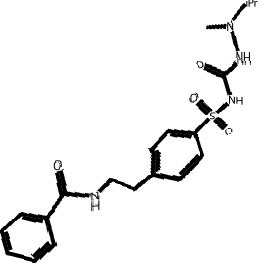 CC(C)N(C)NC(=O)NS(=O)(=O)c1ccc(CCNC(=O)c2ccccc2)cc1